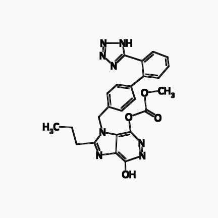 CCCc1nc2c(O)nnc(OC(=O)OC)c2n1Cc1ccc(-c2ccccc2-c2nnn[nH]2)cc1